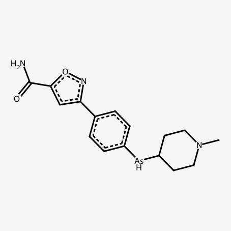 CN1CCC([AsH]c2ccc(-c3cc(C(N)=O)on3)cc2)CC1